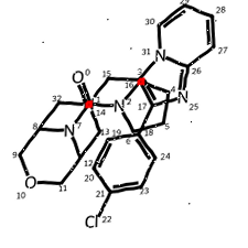 O=C(N1CCCC1)N1C2COCC1CN(Cc1c(-c3ccc(Cl)cc3)nc3ccccn13)C2